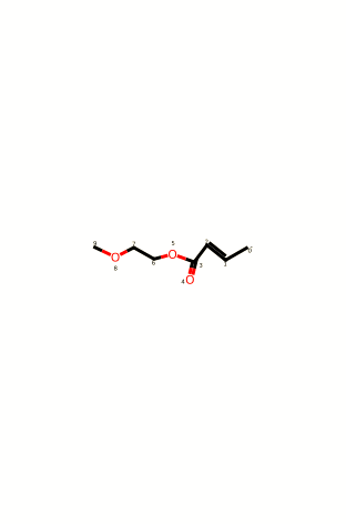 [CH2]C=CC(=O)OCCOC